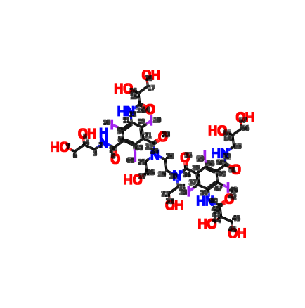 O=C(NCC(O)CO)c1c(I)c(NC(=O)C(O)CO)c(I)c(C(=O)N(CCO)CCN(CCO)C(=O)c2c(I)c(NC(=O)C(O)CO)c(I)c(C(=O)NCC(O)CO)c2I)c1I